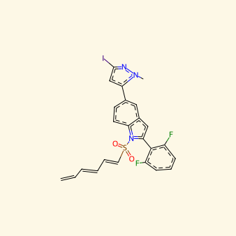 C=C/C=C/C=CS(=O)(=O)n1c(-c2c(F)cccc2F)cc2cc(-c3cc(I)nn3C)ccc21